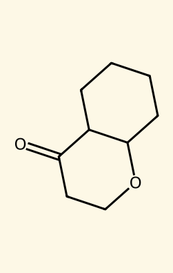 O=C1CCOC2CCCCC12